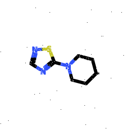 [CH]1CCN(c2ncns2)CC1